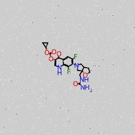 NC(=O)NCC12CN(c3c(F)cc4c(=O)c(OC(=O)OC5CC5)c[nH]c4c3F)CC1CCO2